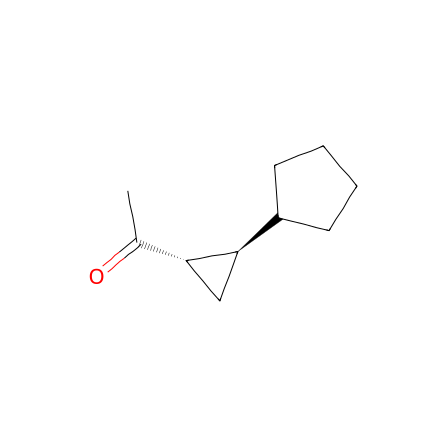 CC(=O)[C@H]1C[C@@H]1C1CCCC1